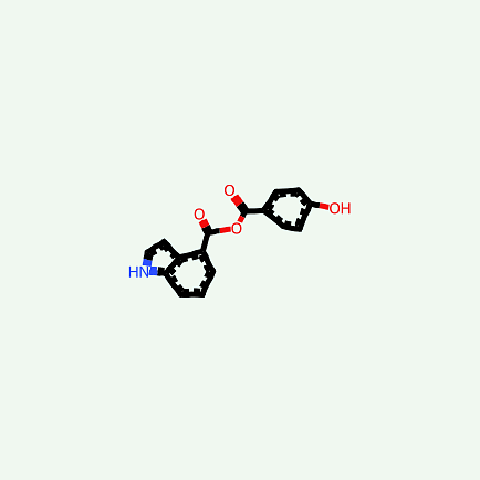 O=C(OC(=O)c1cccc2[nH]ccc12)c1ccc(O)cc1